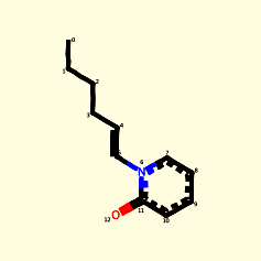 CCCC/C=C/n1ccccc1=O